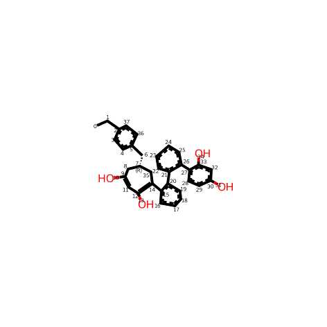 CCc1ccc(C[C@H]2CC(O)=CC(O)=C(c3ccccc3-c3ccccc3-c3ccc(O)cc3O)C2)cc1